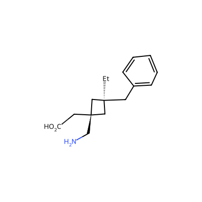 CC[C@]1(Cc2ccccc2)C[C@](CN)(CC(=O)O)C1